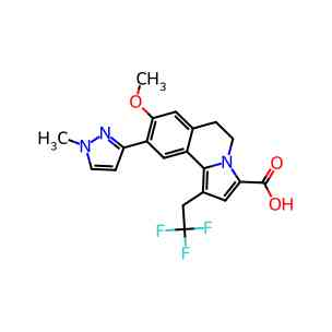 COc1cc2c(cc1-c1ccn(C)n1)-c1c(CC(F)(F)F)cc(C(=O)O)n1CC2